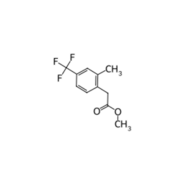 COC(=O)Cc1ccc(C(F)(F)F)cc1C